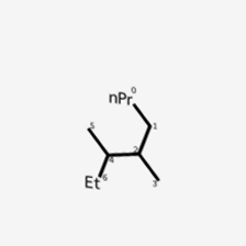 [CH2]CCCC(C)C(C)C[CH2]